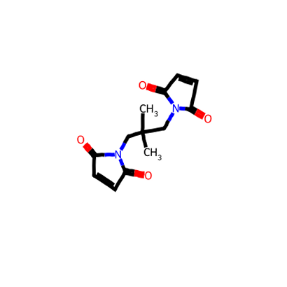 CC(C)(CN1C(=O)C=CC1=O)CN1C(=O)C=CC1=O